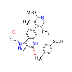 COc1ncc(C)c(-c2ccc3c(c2)[nH]c(=O)c2cnn([C@H]4CCOC4)c23)c1C.Cc1ccc(S(=O)(=O)O)cc1